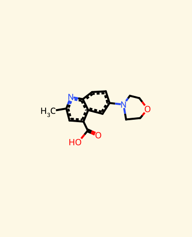 Cc1cc(C(=O)O)c2cc(N3CCOCC3)ccc2n1